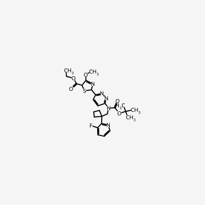 CCOC(=O)C1SC(c2ccc(N(CC3(c4ncccc4F)CCC3)C(=O)OC(C)(C)C)nn2)N=C1OC